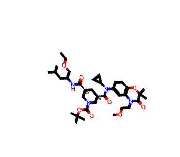 CCOCC(CC(C)C)NC(=O)[C@H]1C[C@@H](C(=O)N(C2=CC3=C(CC2)OC(C)(C)C(=O)N3CCOC)C2CC2)CN(C(=O)OC(C)(C)C)C1